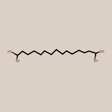 SC(S)CCCCCCCCCCCCCC(S)S